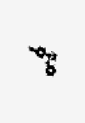 N#Cc1ccc(-c2nccn2Cc2ccccc2)cc1